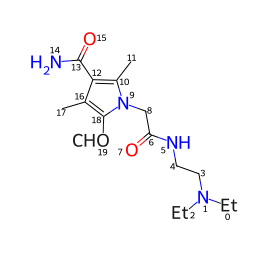 CCN(CC)CCNC(=O)Cn1c(C)c(C(N)=O)c(C)c1C=O